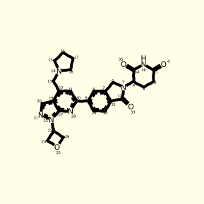 O=C1CCC(N2Cc3cc(-c4cc(CN5CCCC5)c5cnn(C6COC6)c5n4)ccc3C2=O)C(=O)N1